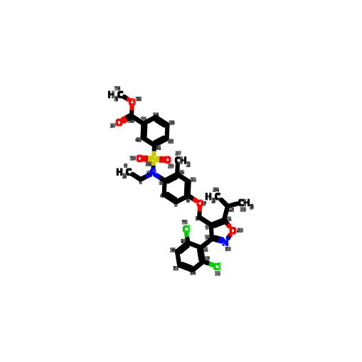 CCN(c1ccc(OCc2c(-c3c(Cl)cccc3Cl)noc2C(C)C)cc1C)S(=O)(=O)c1cccc(C(=O)OC)c1